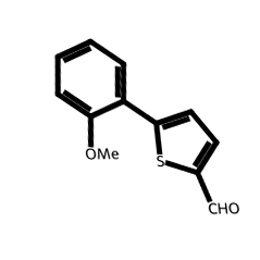 COc1ccccc1-c1ccc(C=O)s1